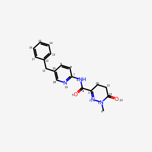 CN1N=C(C(=O)Nc2ccc(Cc3ccccc3)cn2)CCC1=O